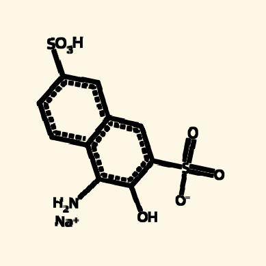 Nc1c(O)c(S(=O)(=O)[O-])cc2cc(S(=O)(=O)O)ccc12.[Na+]